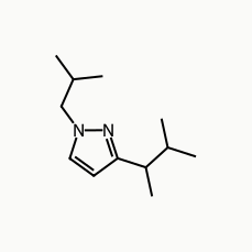 CC(C)Cn1ccc(C(C)C(C)C)n1